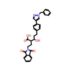 O=C(O)C(CCN1C(=O)c2ccccc2C1=O)C(O)CCc1ccc(-c2cnn(Cc3ccccc3)c2)cc1